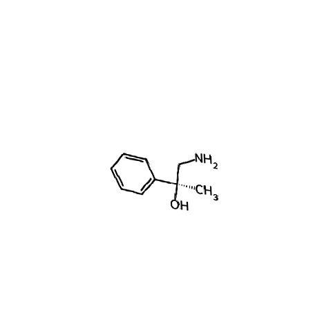 C[C@@](O)(CN)c1ccccc1